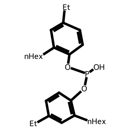 CCCCCCc1cc(CC)ccc1OP(O)Oc1ccc(CC)cc1CCCCCC